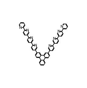 c1ccc(-c2ccc(-c3ccc(-c4ccc(-c5ccc6c7ccccc7c7ccc(-c8ccc(-c9ccc(-c%10ccc(-c%11ccccn%11)nc%10)nc9)nc8)cc7c6c5)cn4)cn3)cn2)nc1